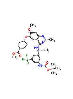 COc1cc2nc(C)nc(N[C@H](C)c3cc(NC(=O)OC(C)(C)C)cc(C(F)(F)F)c3)c2cc1O[C@H]1CC[C@H](C(=O)OC)CC1